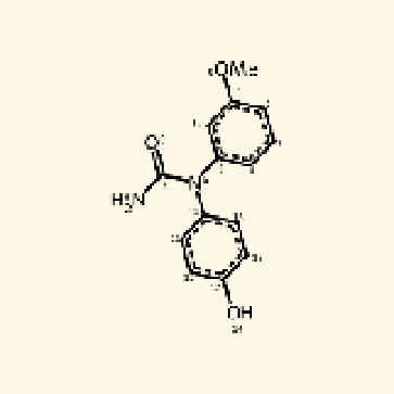 COc1cccc(N(C(N)=O)c2ccc(O)cc2)c1